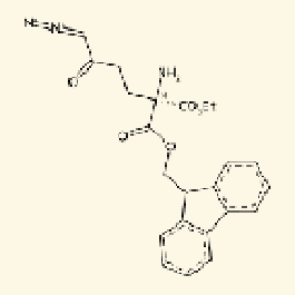 CCOC(=O)[C@@](N)(CCC(=O)C=[N+]=[N-])C(=O)OCC1c2ccccc2-c2ccccc21